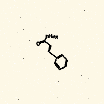 CCCCCCC(=O)C=Cc1ccccc1